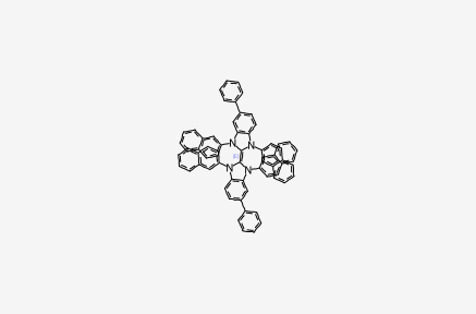 c1ccc(-c2ccc3c(c2)N(c2ccc4ccccc4c2)/C(=C2\N(c4ccc5ccccc5c4)c4ccc(-c5ccccc5)cc4N2c2ccc4ccccc4c2)N3c2ccc3ccccc3c2)cc1